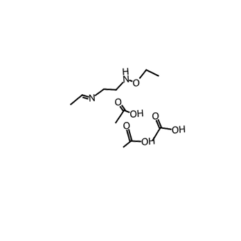 CC(=O)O.CC(=O)O.CC(=O)O.CC=NCCNOCC